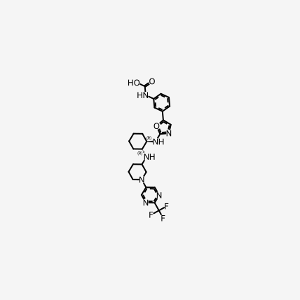 O=C(O)Nc1cccc(-c2cnc(N[C@@H]3CCCC[C@H]3NC3CCCN(c4cnc(C(F)(F)F)nc4)C3)o2)c1